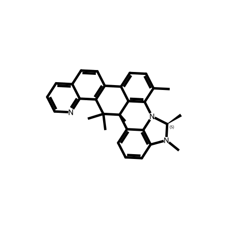 Cc1ccc2c3c1N1c4c(cccc4C3(C)C(C)(C)c3c-2ccc2cccnc32)N(C)[C@@H]1C